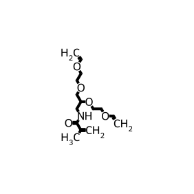 C=COCCOCC(CNC(=O)C(=C)C)OCCOC=C